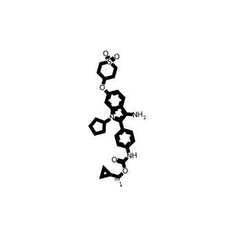 C[C@@H](OC(=O)Nc1ccc(-c2c(N)c3ccc(OC4CCS(=O)(=O)CC4)cc3n2C2CCCC2)cc1)C1CC1